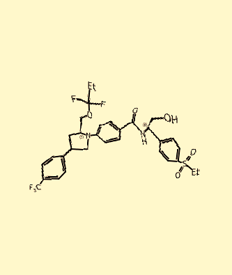 CCC(F)(F)OC[C@@H]1CC(c2ccc(C(F)(F)F)cc2)CN1c1ccc(C(=O)N[C@@H](CO)c2ccc(S(=O)(=O)CC)cc2)cc1